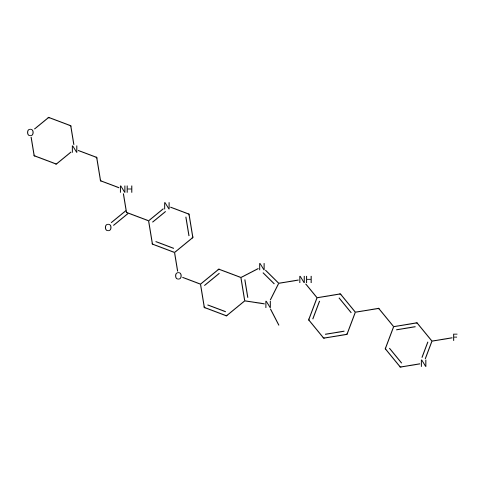 Cn1c(Nc2cccc(Cc3ccnc(F)c3)c2)nc2cc(Oc3ccnc(C(=O)NCCN4CCOCC4)c3)ccc21